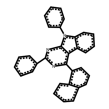 c1ccc(-c2nc(-c3cccc4ccccc34)c3c4ccccc4n(-c4ccccc4)c3n2)cc1